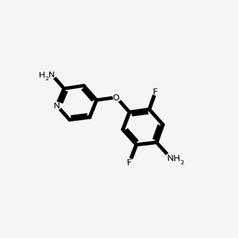 Nc1cc(Oc2cc(F)c(N)cc2F)ccn1